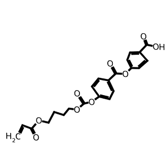 C=CC(=O)OCCCCOC(=O)Oc1ccc(C(=O)Oc2ccc(C(=O)O)cc2)cc1